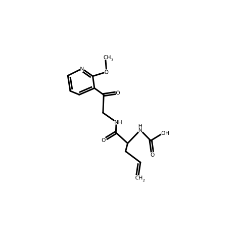 C=CCC(NC(=O)O)C(=O)NCC(=O)c1cccnc1OC